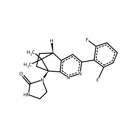 CC1(C)[C@@H]2CC[C@@]1(N1CCNC1=O)c1nnc(-c3c(F)cccc3F)cc12